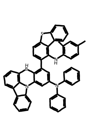 Cc1ccc(Nc2c(-c3cc(N(c4ccccc4)c4ccccc4)cc4c3Bc3cccc5c6ccccc6n-4c35)ccc3sc4ccccc4c23)c(C)c1